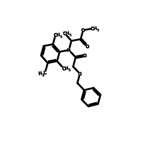 COC(=O)C(C)N(C(=O)COCc1ccccc1)c1c(C)ccc(C)c1C